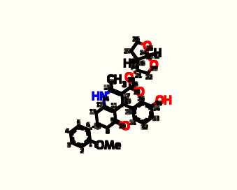 COc1ccccc1[C@H]1CC(=O)C2=C(C1)NC(C)=C(C(=O)O[C@H]1CO[C@H]3OCC[C@H]31)[C@H]2c1cccc(O)c1